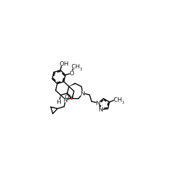 COc1c(O)ccc2c1[C@@]13CCN(CCn4cc(C)cn4)CC[C@@]1(O)[C@@H](C2)N(CC1CC1)CC3